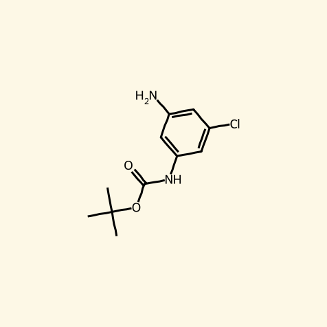 CC(C)(C)OC(=O)Nc1cc(N)cc(Cl)c1